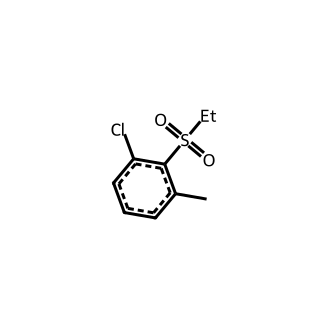 [CH2]CS(=O)(=O)c1c(C)cccc1Cl